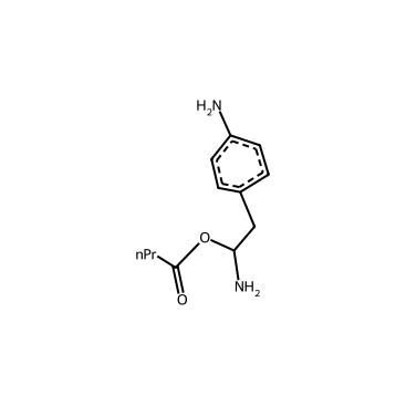 CCCC(=O)OC(N)Cc1ccc(N)cc1